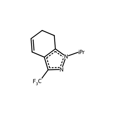 CC(C)n1nc(C(F)(F)F)c2c1CCC=C2